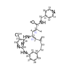 C=C1/C=C(\C=C(/C)C(=O)NCc2ccncc2)Nc2nc(ncc2Cl)Nc2cccc(c2)CC1